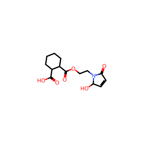 O=C(O)C1CCCCC1C(=O)OCCN1C(=O)C=CC1O